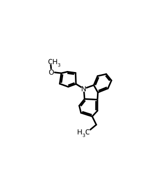 CCc1ccc2c(c1)c1ccccc1n2-c1ccc(OC)cc1